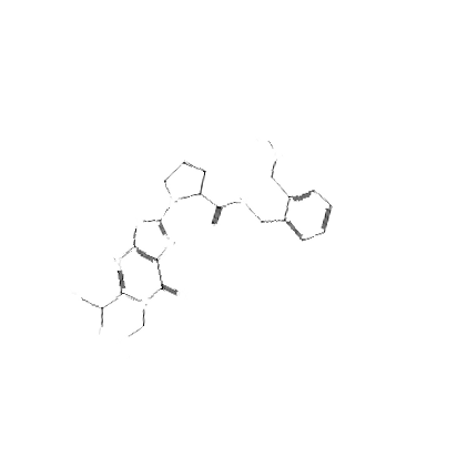 CCn1c(C(F)F)nc2sc(N3CCCC3C(=O)NCc3ccccc3COC)nc2c1=O